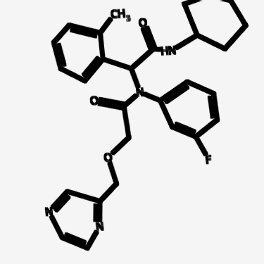 Cc1ccccc1C(C(=O)NC1CCCCC1)N(C(=O)COCc1cnccn1)c1cccc(F)c1